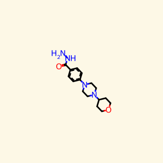 NNC(=O)c1ccc(N2CCN(C3CCOCC3)CC2)cc1